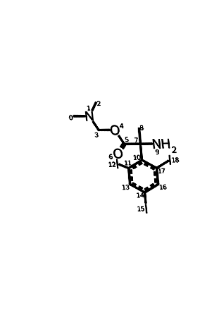 CN(C)COC(=O)C(C)(N)c1c(I)cc(I)cc1I